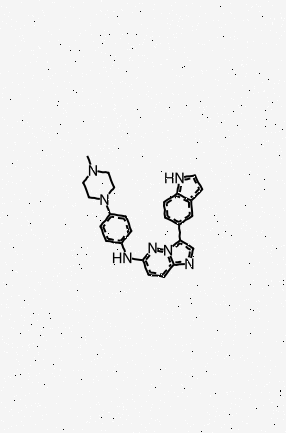 CN1CCN(c2ccc(Nc3ccc4ncc(-c5ccc6[nH]ccc6c5)n4n3)cc2)CC1